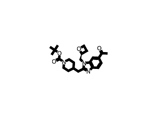 CC(=O)c1ccc2nc(CC3CCN(C(=O)OC(C)(C)C)CC3)n(C[C@@H]3CCO3)c2c1